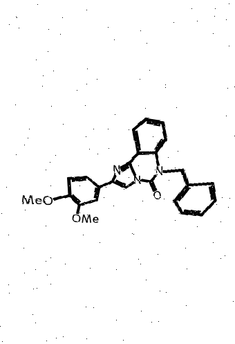 COc1ccc(-c2cn3c(=O)n(Cc4ccccc4)c4ccccc4c3n2)cc1OC